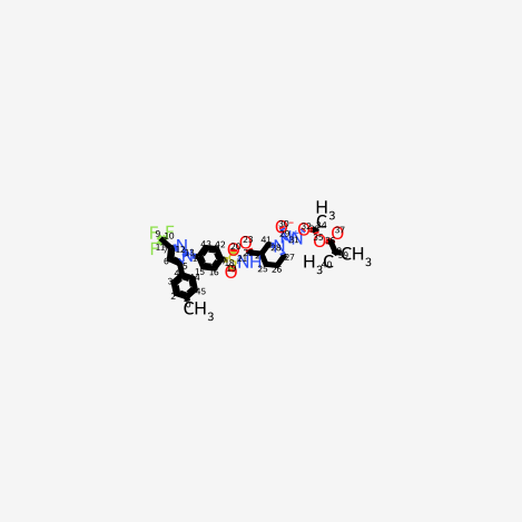 Cc1ccc(-c2cc(C(F)(F)F)nn2-c2ccc(S(=O)(=O)NC(=O)C3CCCN([N+]([O-])=NOC(C)OC(=O)C(C)C)C3)cc2)cc1